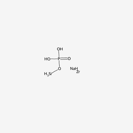 O=P(O)(O)O[SiH3].[NaH].[Zr]